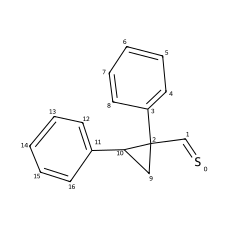 S=CC1(c2ccccc2)CC1c1ccccc1